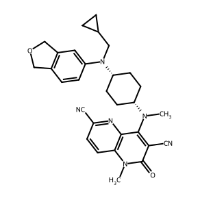 Cn1c(=O)c(C#N)c(N(C)[C@H]2CC[C@@H](N(CC3CC3)c3ccc4c(c3)COC4)CC2)c2nc(C#N)ccc21